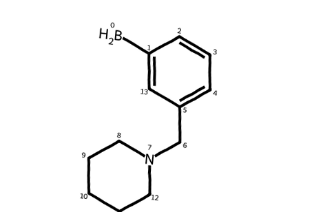 Bc1cccc(CN2CCCCC2)c1